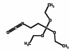 CCO[Si](CCN=C=O)(OCC)OCC